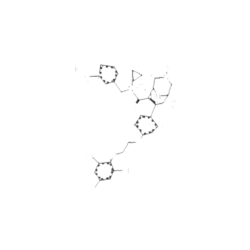 CC(=O)N1C[C@H]2CC(c3ccc(OCCOc4c(Cl)cc(C)cc4Cl)cc3)=C(C(=O)N(Cc3cccc(OC(F)(F)F)c3)C3CC3)[C@@H](C1)N2